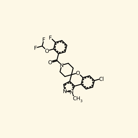 Cn1ncc2c1-c1ccc(Cl)cc1OC21CCN(C(=O)c2cccc(F)c2OC(F)F)CC1